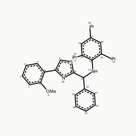 COc1ccccc1-c1csc(C(Nc2c(C(C)C)cc(C(C)C)cc2C(C)C)c2ccccc2)n1